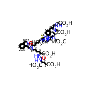 O=C(O)CCC(NC(=O)N[C@@H](CCCCN(Cc1nccc2ccccc12)C(=O)CCCCNC(=S)Nc1ccc(CC(CNCC(=O)O)N(CCN(CCNCC(=O)O)CC(=O)O)CC(=O)O)cc1)C(=O)O)C(=O)O